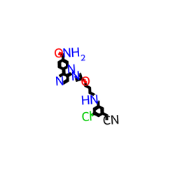 N#CCc1cc(Cl)cc(CNCCCCOC2CN(c3nc4cc(C(N)=O)ccc4c4cnccc34)C2)c1